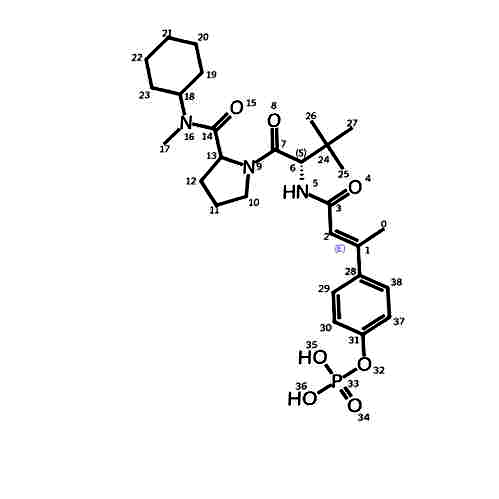 C/C(=C\C(=O)N[C@H](C(=O)N1CCCC1C(=O)N(C)C1CCCCC1)C(C)(C)C)c1ccc(OP(=O)(O)O)cc1